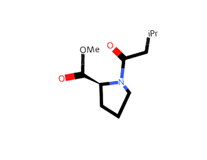 COC(=O)[C@@H]1CCCN1C(=O)CC(C)C